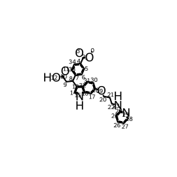 COC(=O)c1ccc(C(CC(=O)O)c2c[nH]c3cc(OCCCNc4ccccn4)ccc23)cc1